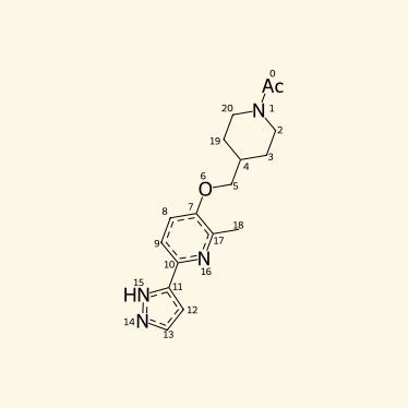 CC(=O)N1CCC(COc2ccc(-c3ccn[nH]3)nc2C)CC1